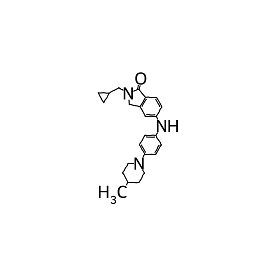 CC1CCN(c2ccc(Nc3ccc4c(c3)CN(CC3CC3)C4=O)cc2)CC1